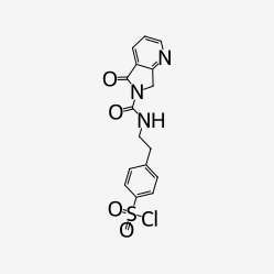 O=C(NCCc1ccc(S(=O)(=O)Cl)cc1)N1Cc2ncccc2C1=O